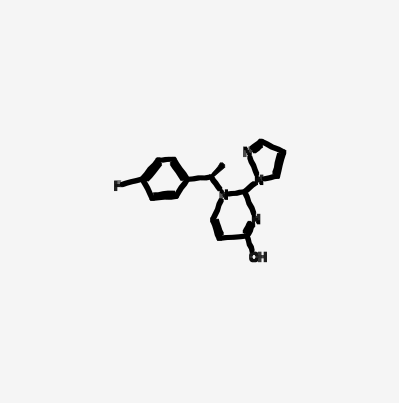 C[C@H](c1ccc(F)cc1)N1C=CC(O)=NC1n1cccn1